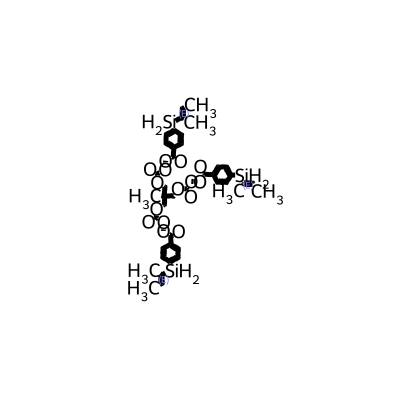 C/C=C(\C)[SiH2]c1ccc(C(=O)OOC(=O)OCC(C)(COC(=O)OOC(=O)c2ccc([SiH2]/C(C)=C/C)cc2)COC(=O)OOC(=O)c2ccc([SiH2]/C(C)=C/C)cc2)cc1